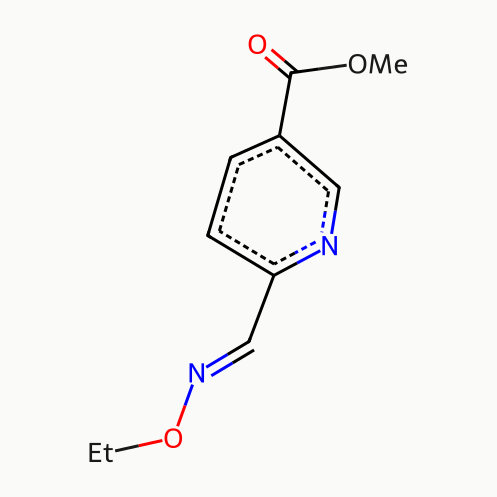 CCON=Cc1ccc(C(=O)OC)cn1